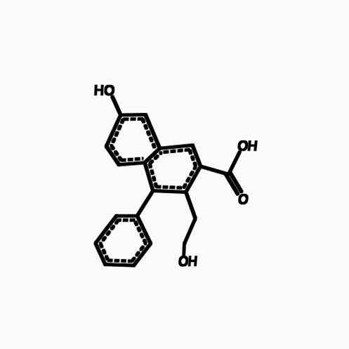 O=C(O)c1cc2cc(O)ccc2c(-c2ccccc2)c1CCO